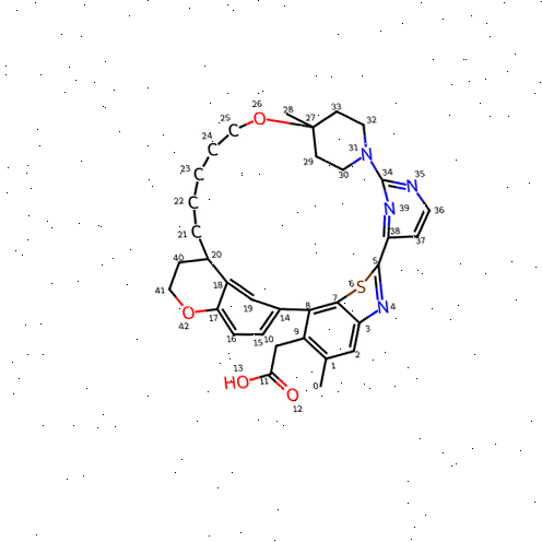 Cc1cc2nc3sc2c(c1CC(=O)O)-c1ccc2c(c1)C(CCCCCOC1(C)CCN(CC1)c1nccc-3n1)CCO2